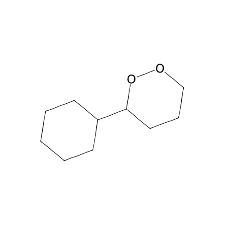 C1CCC(C2CCCOO2)CC1